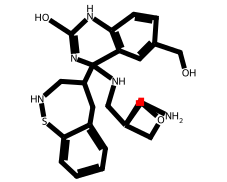 NCC1(CNC2(C3CNSc4ccccc4C3)N=C(O)Nc3ccc(CO)cc32)COC1